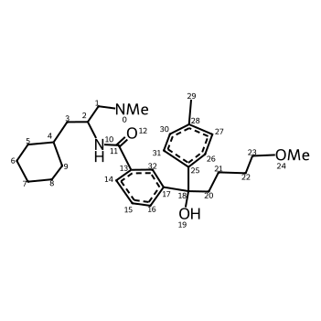 CNCC(CC1CCCCC1)NC(=O)c1cccc(C(O)(CCCCOC)c2ccc(C)cc2)c1